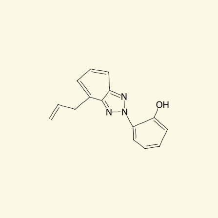 C=CCc1cccc2nn(-c3ccccc3O)nc12